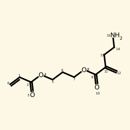 C=CC(=O)OCCCOC(=O)C(=C)CCN